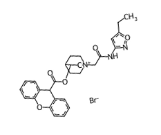 CCc1cc(NC(=O)C[N+]23CCC(CC2)C(OC(=O)C2c4ccccc4Oc4ccccc42)C3)no1.[Br-]